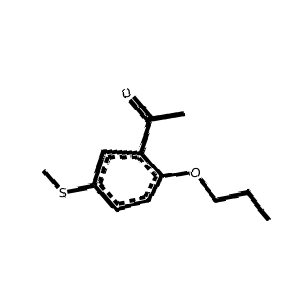 CCCOc1ccc(SC)cc1C(C)=O